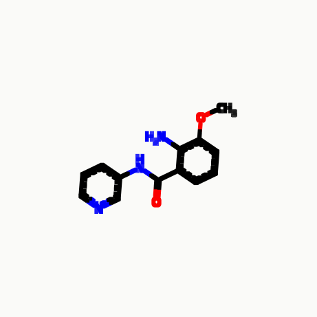 COc1cccc(C(=O)Nc2cccnc2)c1N